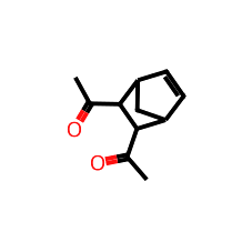 CC(=O)C1C2C=CC(C2)C1C(C)=O